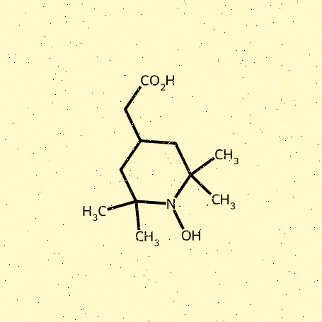 CC1(C)CC(CC(=O)O)CC(C)(C)N1O